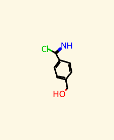 N=C(Cl)c1ccc(CO)cc1